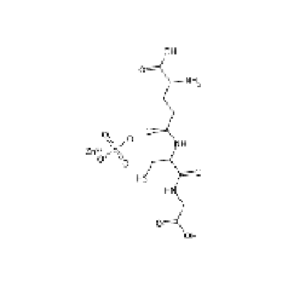 NC(CCC(=O)NC(CS)C(=O)NCC(=O)O)C(=O)O.O=S(=O)([O-])[O-].[Zn+2]